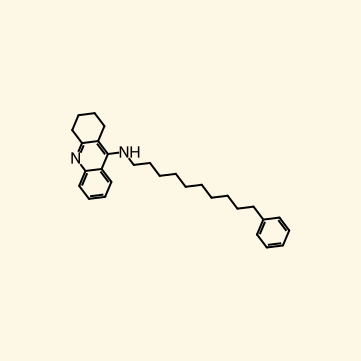 c1ccc(CCCCCCCCCCNc2c3c(nc4ccccc24)CCCC3)cc1